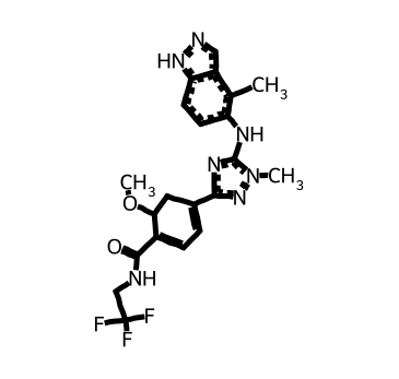 COC1CC(c2nc(Nc3ccc4[nH]ncc4c3C)n(C)n2)=CC=C1C(=O)NCC(F)(F)F